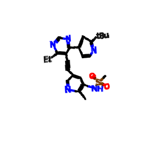 CCc1ncnc(-c2ccnc(C(C)(C)C)c2)c1C#Cc1cnc(C)c(NS(C)(=O)=O)c1